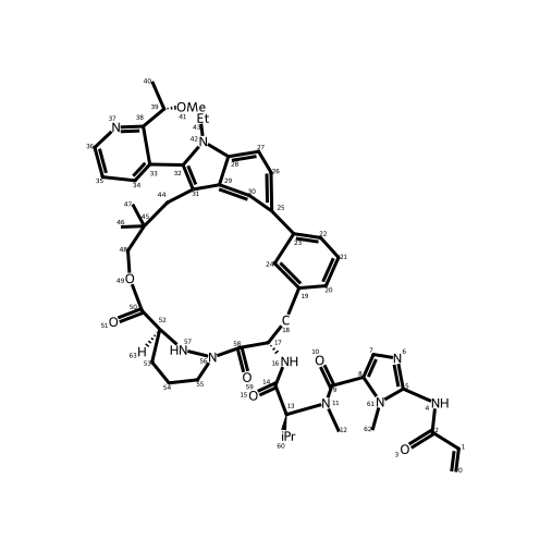 C=CC(=O)Nc1ncc(C(=O)N(C)[C@H](C(=O)N[C@H]2Cc3cccc(c3)-c3ccc4c(c3)c(c(-c3cccnc3[C@H](C)OC)n4CC)CC(C)(C)COC(=O)[C@@H]3CCCN(N3)C2=O)C(C)C)n1C